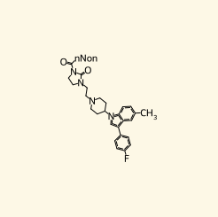 CCCCCCCCCC(=O)N1CCN(CCN2CCC(n3cc(-c4ccc(F)cc4)c4cc(C)ccc43)CC2)C1=O